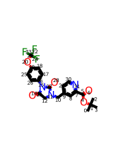 CC(C)(C)OC(=O)c1cc(CN2CC(=O)N(c3ccc(OC(F)(F)F)cc3)C2=O)ccn1